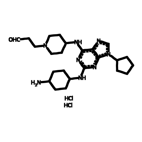 Cl.Cl.NC1CCC(Nc2nc(NC3CCN(CCC=O)CC3)c3ncn(C4CCCC4)c3n2)CC1